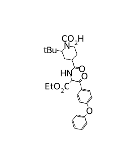 CCOC(=O)C(NC(=O)C1CCN(C(=O)O)C(C(C)(C)C)C1)C(=O)c1ccc(Oc2ccccc2)cc1